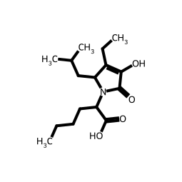 CCCCC(C(=O)O)N1C(=O)C(O)=C(CC)C1CC(C)C